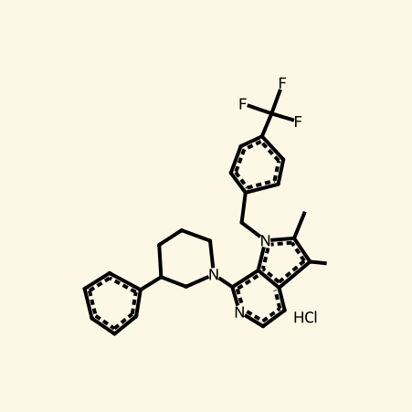 Cc1c(C)n(Cc2ccc(C(F)(F)F)cc2)c2c(N3CCCC(c4ccccc4)C3)nccc12.Cl